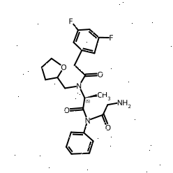 C[C@@H](C(=O)N(C(=O)CN)c1ccccc1)N(CC1CCCO1)C(=O)Cc1cc(F)cc(F)c1